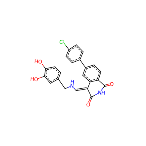 O=C1NC(=O)c2ccc(-c3ccc(Cl)cc3)cc2/C1=C\NCc1ccc(O)c(O)c1